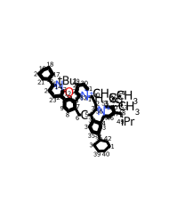 C=C1CC2C(CCc3ccc4c(oc5nc(-c6ccccc6)ccc54)c3-c3cc(C(C)(C)C)cc[n+]31)c1ccc(C3CCCCC3)cc1-c1cc(CC(C)C)c([Si](C)(C)C)c[n+]12